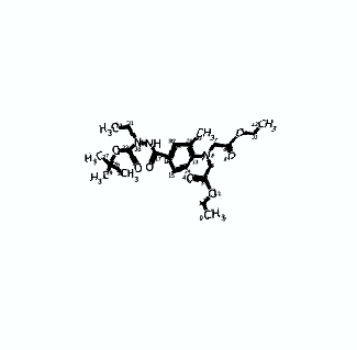 CCOC(=O)CN(CC(=O)OCC)c1ccc(C(=O)NN(CC)C(=O)OC(C)(C)C)cc1C